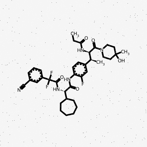 CCC(=O)N[C@@H](C(=O)N1CCC(C)(O)CC1)[C@@H](C)c1ccc(NC(=O)[C@@H](NC(=O)C(F)(F)c2cccc(C#N)c2)C2CCCCCC2)c(F)c1